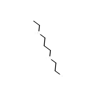 [CH2]CNCCCNCCN